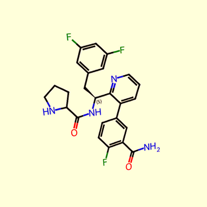 NC(=O)c1cc(-c2cccnc2[C@H](Cc2cc(F)cc(F)c2)NC(=O)C2CCCN2)ccc1F